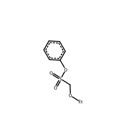 CCOCS(=O)(=O)Oc1ccccc1